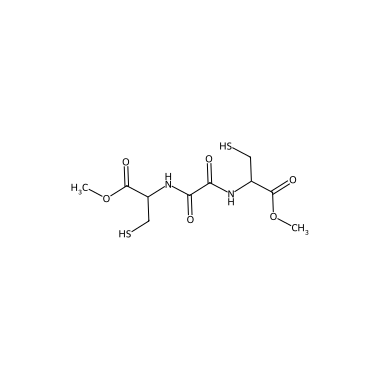 COC(=O)C(CS)NC(=O)C(=O)NC(CS)C(=O)OC